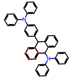 c1ccc(N(c2ccccc2)c2ccc(C34c5ccccc5C(N(c5ccccc5)c5ccccc5)(c5ccccc53)c3ccccc34)cc2)cc1